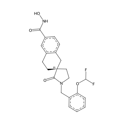 O=C(NO)c1ccc2c(c1)CC[C@]1(CCN(Cc3ccccc3OC(F)F)C1=O)C2